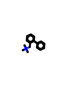 C[N+](C)(C)Cc1ccccc1-c1ccccc1